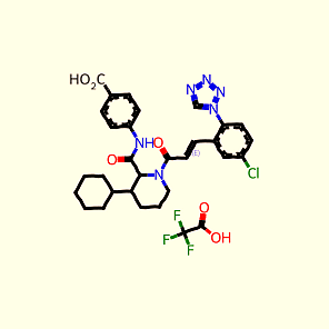 O=C(O)C(F)(F)F.O=C(O)c1ccc(NC(=O)C2C(C3CCCCC3)CCCN2C(=O)/C=C/c2cc(Cl)ccc2-n2cnnn2)cc1